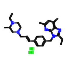 CCc1nc2c(C)cc(C)nc2n1Cc1ccc(C=CCN2CCN(CC)C(C)C2)cc1.Cl.Cl